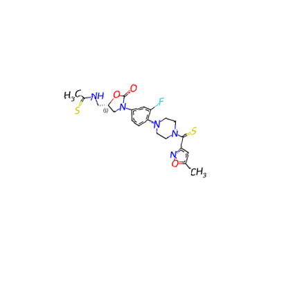 CC(=S)NC[C@H]1CN(c2ccc(N3CCN(C(=S)c4cc(C)on4)CC3)c(F)c2)C(=O)O1